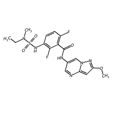 CCN(C)S(=O)(=O)Nc1ccc(F)c(C(=O)Nc2cnc3cc(OC)nn3c2)c1F